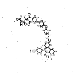 CCC(=C(c1ccc(O)cc1)c1ccc(OCCN2CCC(Oc3cnc(-c4ccc5c(c4)C(=O)N(C4CCC(=O)NC4=O)C5=O)cn3)C2)cc1)c1ccccc1